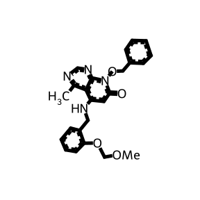 COCOc1ccccc1CNc1cc(=O)n(OCc2ccccc2)c2ncnc(C)c12